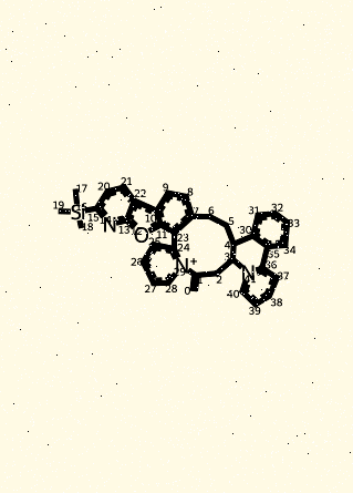 C=C1CC2C(CCc3ccc4c(oc5nc([Si](C)(C)C)ccc54)c3-c3cccc[n+]31)c1ccccc1-c1cccc[n+]12